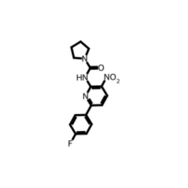 O=C(Nc1nc(-c2ccc(F)cc2)ccc1[N+](=O)[O-])N1CCCC1